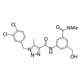 CNC(=O)c1cc(CO)cc(NC(=O)c2nnn(Cc3ccc(Cl)c(Cl)c3)c2C)c1